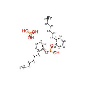 CC(C)CCCCCc1ccccc1OP(O)Oc1ccccc1CCCCCC(C)C.OP(O)O